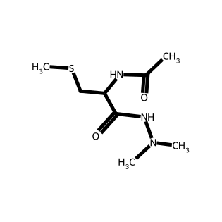 CSCC(NC(C)=O)C(=O)NN(C)C